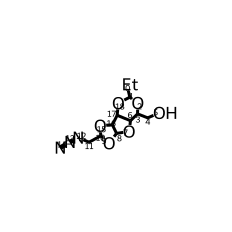 CCC1OC(CO)C2OC3OC(CN=[N+]=[N-])OC3C2O1